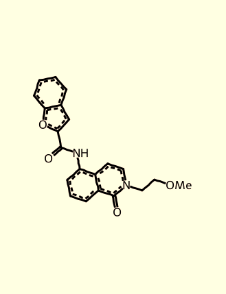 COCCn1ccc2c(NC(=O)c3cc4ccccc4o3)cccc2c1=O